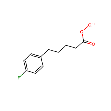 O=C(CCCCc1ccc(F)cc1)OO